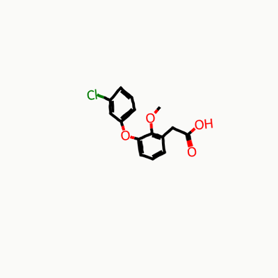 COc1c(CC(=O)O)cccc1Oc1cccc(Cl)c1